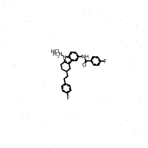 Cl.Nn1c2c(c3cc(NC(=O)c4ccc(F)cc4)ccc31)CC(CCc1ccc(F)cc1)CC2